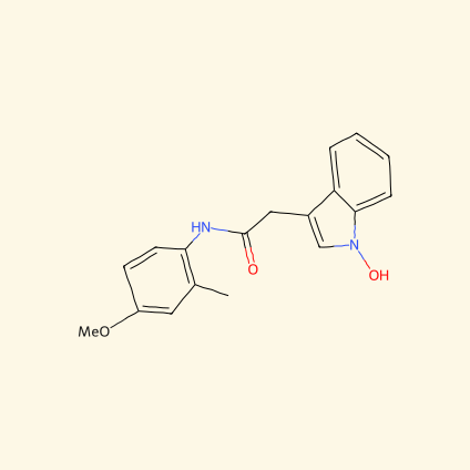 COc1ccc(NC(=O)Cc2cn(O)c3ccccc23)c(C)c1